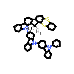 CC1(C)c2c(ccc3c2Sc2ccccc2S3)-c2ccc3c4ccccc4n(-c4ccc5c(c4)c4ccccc4n5-c4ccc5c(c4)c4ccccc4n5-c4ccccc4)c3c21